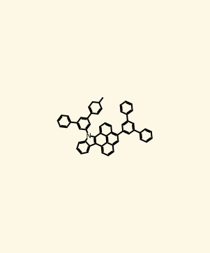 CC1C=CC(c2cc(-c3ccccc3)cc(-n3c4ccccc4c4c5cccc6cc(-c7cc(-c8ccccc8)cc(-c8ccccc8)c7)c7cccc(c7c65)c43)c2)=CC1